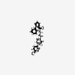 O=c1c2cccn2c2ccccc2n1CCCN1CCN(c2ccc(Cl)nn2)CC1